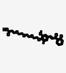 COc1cc(/C=C/C(=O)N2CCC=CC2=O)cc(C)c1OCCOCCOCCOCCC(=O)O